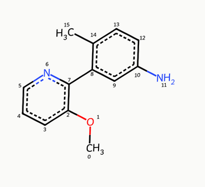 COc1cccnc1-c1cc(N)ccc1C